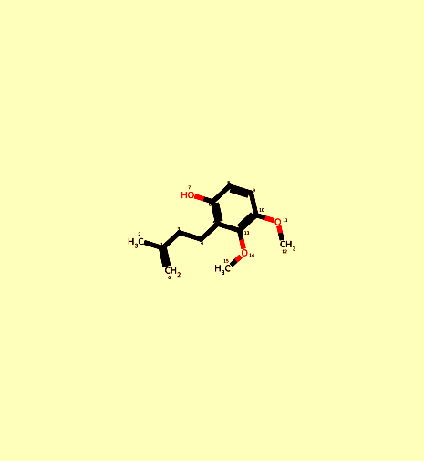 C=C(C)CCc1c(O)ccc(OC)c1OC